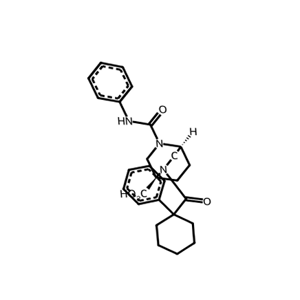 O=C(Nc1ccccc1)N1C[C@@]2(C(=O)O)CC[C@H]1CN2C(=O)C1(c2ccccc2)CCCCC1